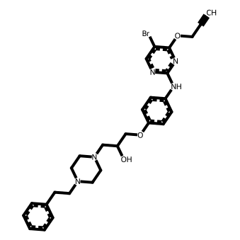 C#CCOc1nc(Nc2ccc(OCC(O)CN3CCN(CCc4ccccc4)CC3)cc2)ncc1Br